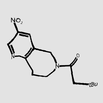 CC(C)(C)CC(=O)N1CCc2ncc([N+](=O)[O-])cc2C1